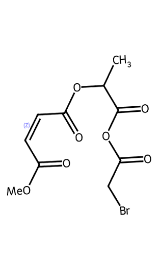 COC(=O)/C=C\C(=O)OC(C)C(=O)OC(=O)CBr